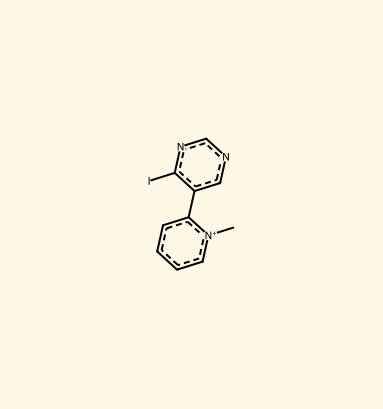 C[n+]1ccccc1-c1cncnc1I